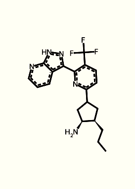 CCC[C@@H]1CC(c2ccc(C(F)(F)F)c(-c3n[nH]c4ncccc34)n2)C[C@@H]1N